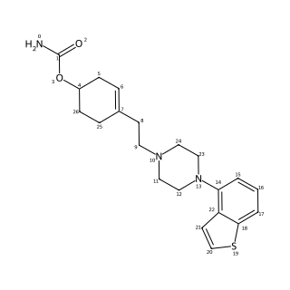 NC(=O)OC1CC=C(CCN2CCN(c3cccc4sccc34)CC2)CC1